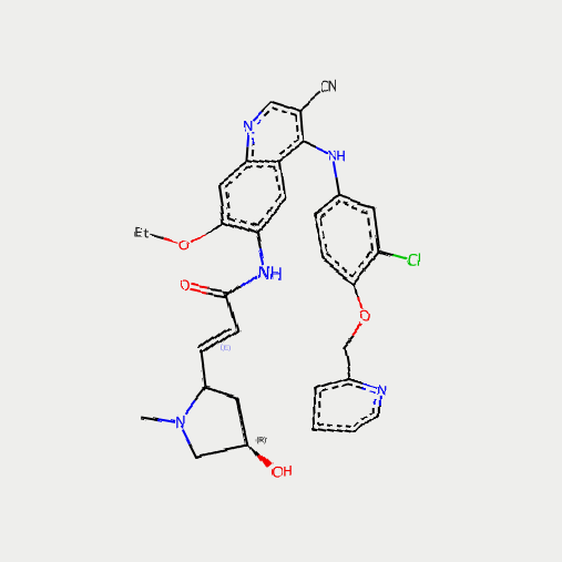 CCOc1cc2ncc(C#N)c(Nc3ccc(OCc4ccccn4)c(Cl)c3)c2cc1NC(=O)/C=C/C1C[C@@H](O)CN1C